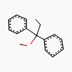 [SiH3]OC(CI)(c1ccccc1)c1ccccc1